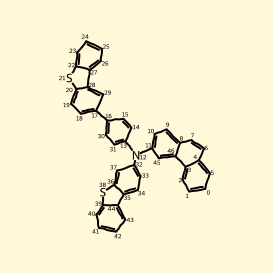 c1ccc2c(c1)ccc1ccc(N(c3ccc(-c4ccc5sc6ccccc6c5c4)cc3)c3ccc4c(c3)sc3ccccc34)cc12